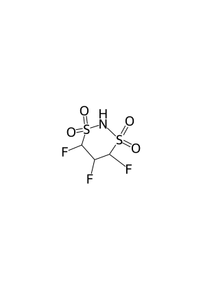 O=S1(=O)NS(=O)(=O)C(F)C(F)C1F